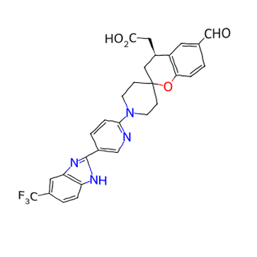 O=Cc1ccc2c(c1)[C@H](CC(=O)O)CC1(CCN(c3ccc(-c4nc5cc(C(F)(F)F)ccc5[nH]4)cn3)CC1)O2